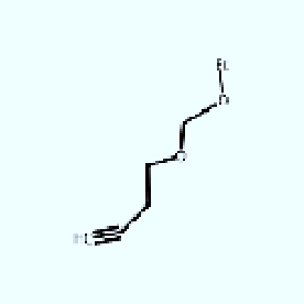 C#CCCOCOCC